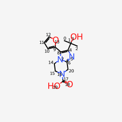 CC(C)(O)c1nc2n(c1-c1ccco1)CCN(C(=O)O)C2